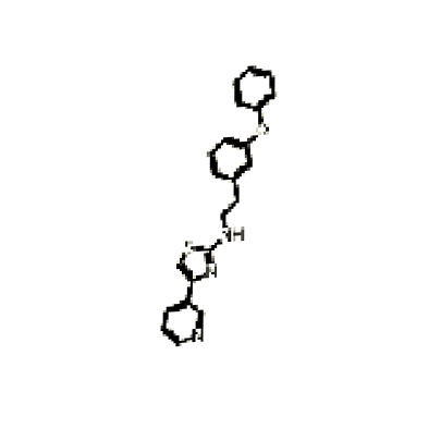 c1ccc(Oc2cccc(CCNc3nc(-c4cccnc4)cs3)c2)cc1